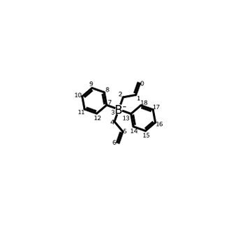 C=CC[B-](CC=C)(c1ccccc1)c1ccccc1